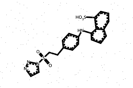 O=S(=O)(O)c1cccc2cccc(Nc3ccc(CCS(=O)(=O)n4ccnn4)cc3)c12